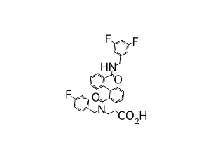 O=C(O)CCN(Cc1ccc(F)cc1)C(=O)c1ccccc1-c1ccccc1C(=O)NCc1cc(F)cc(F)c1